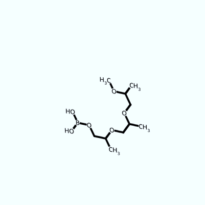 COC(C)COC(C)COC(C)COB(O)O